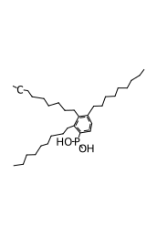 CCCCCCCCCc1ccc(P(O)O)c(CCCCCCCCC)c1CCCCCCCCC